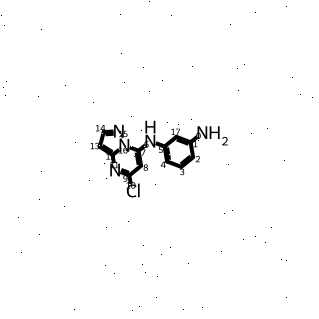 Nc1cccc(Nc2cc(Cl)nc3ccnn23)c1